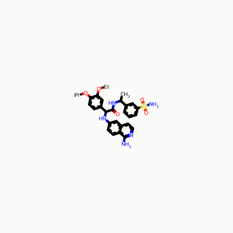 CCOc1cc(C(Nc2ccc3c(N)nccc3c2)C(=O)NC(C)c2cccc(S(N)(=O)=O)c2)ccc1OC(C)C